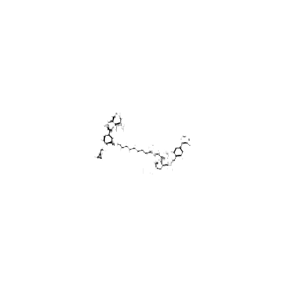 Cc1ncsc1-c1ccc(CNC(=O)C2CC(O)CN2C(=O)[C@@H](NC(=O)CCCCCCCCOc2cc(C(=O)Nc3c(Cl)cncc3Cl)ccc2OCC2CC2)C(C)(C)C)cc1